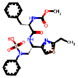 CCc1nc([C@H](CN(c2ccccc2)S(=O)(=O)O)NC(=O)[C@H](Cc2ccccc2)NC(=O)OC)cs1